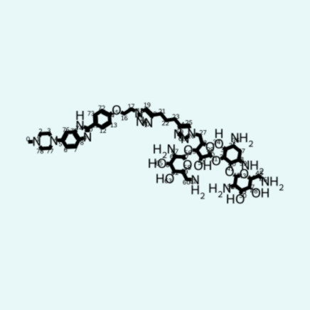 CN1CCN(c2ccc3nc(-c4ccc(OCCn5cc(CCCc6cn(CC7OC(OC8C(O)[C@H](N)CC(N)[C@H]8O[C@H]8OC(CN)[C@@H](O)C(O)C8N)C(O)C7O[C@H]7OC(CN)[C@@H](O)C(O)C7N)nn6)nn5)cc4)[nH]c3c2)CC1